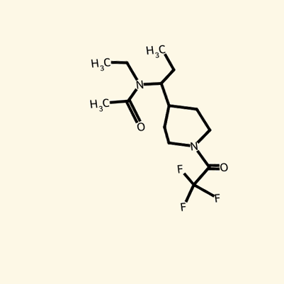 CCC(C1CCN(C(=O)C(F)(F)F)CC1)N(CC)C(C)=O